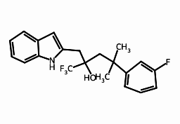 CC(C)(CC(O)(Cc1cc2ccccc2[nH]1)C(F)(F)F)c1cccc(F)c1